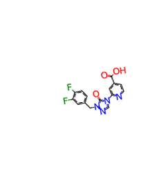 O=C(O)c1ccnc(-n2cnn(Cc3ccc(F)c(F)c3)c2=O)c1